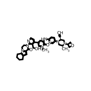 C#C[C@H]1CN(C2COC2)[C@H](C)CN1c1ccc(Nc2cc(-c3ccnc(N4CCn5c(cc6c5CCCC6)C4=O)c3CO)cn(C)c2=O)nc1